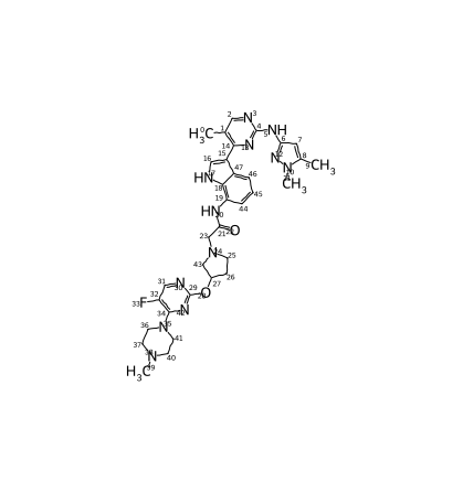 Cc1cnc(Nc2cc(C)n(C)n2)nc1-c1c[nH]c2c(NC(=O)CN3CCC(Oc4ncc(F)c(N5CCN(C)CC5)n4)C3)cccc12